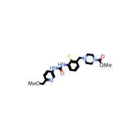 COCc1ccc(NC(=O)Nc2cccc(CN3CCN(C(=O)OC)CC3)c2F)cn1